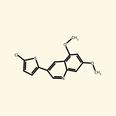 COc1cc(OC)c2cc(-c3ccc(Cl)s3)cnc2c1